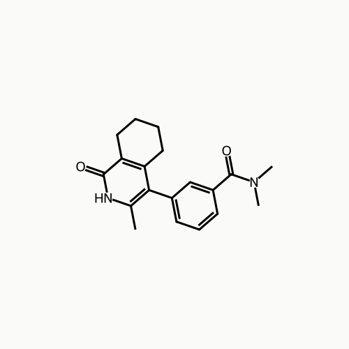 Cc1[nH]c(=O)c2c(c1-c1cccc(C(=O)N(C)C)c1)CCCC2